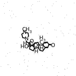 CN1CCN(CC(=O)[C@@]2(O)CC[C@H]3[C@@H]4CCC5=CC(=O)C=C[C@]5(C)C4(O)CC[C@@]32C)CC1